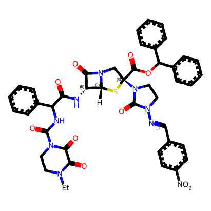 CCN1CCN(C(=O)NC(C(=O)N[C@@H]2C(=O)N3C[C@@](C(=O)OC(c4ccccc4)c4ccccc4)(N4CCN(/N=C/c5ccc([N+](=O)[O-])cc5)C4=O)S[C@H]23)c2ccccc2)C(=O)C1=O